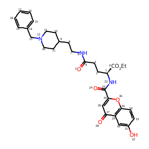 CCOC(=O)[C@H](CCC(=O)NCCC1CCN(Cc2ccccc2)CC1)NC(=O)c1cc(=O)c2cc(O)ccc2o1